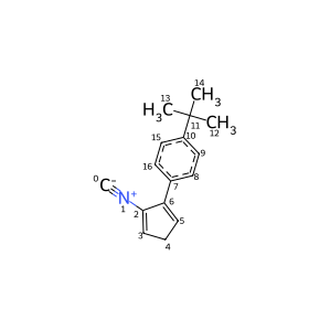 [C-]#[N+]C1=CCC=C1c1ccc(C(C)(C)C)cc1